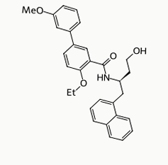 CCOc1ccc(-c2cccc(OC)c2)cc1C(=O)N[C@@H](CCO)Cc1cccc2ccccc12